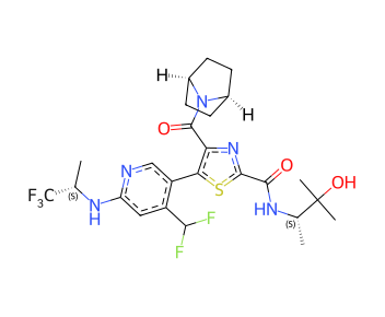 C[C@H](NC(=O)c1nc(C(=O)N2[C@H]3CC[C@@H]2CC3)c(-c2cnc(N[C@@H](C)C(F)(F)F)cc2C(F)F)s1)C(C)(C)O